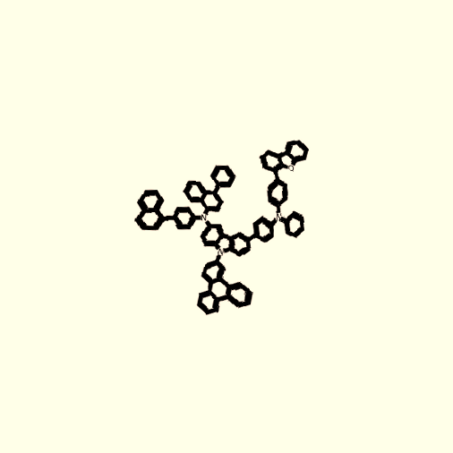 c1ccc(-c2ccc(N(c3ccc(-c4cccc5ccccc45)cc3)c3ccc4c(c3)c3cc(-c5ccc(N(c6ccccc6)c6ccc(-c7cccc8c7oc7ccccc78)cc6)cc5)ccc3n4-c3ccc4c5ccccc5c5ccccc5c4c3)c3ccccc23)cc1